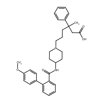 COc1ccc(-c2ccccc2C(=O)NC2CCN(CCCC(C)(CC(=O)O)c3ccccc3)CC2)cc1